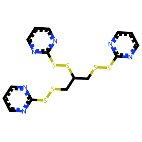 c1cnc(SSCC(CSSc2ncccn2)SSc2ncccn2)nc1